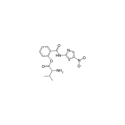 CC(C)C(N)C(=O)Oc1ccccc1C(=O)Nc1ncc([N+](=O)[O-])s1